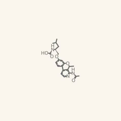 CC(=O)Nc1nccc2c1C(C)Oc1cc(OC[C@H](CC(C)C)NC(=O)O)ccc1-2